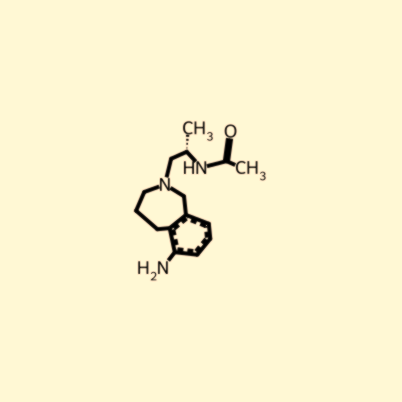 CC(=O)N[C@@H](C)CN1CCCc2c(N)cccc2C1